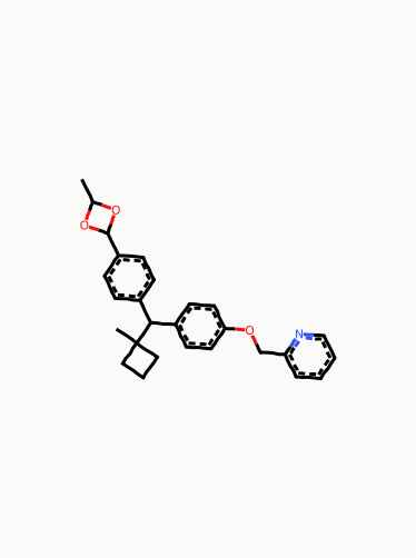 CC1OC(c2ccc(C(c3ccc(OCc4ccccn4)cc3)C3(C)CCC3)cc2)O1